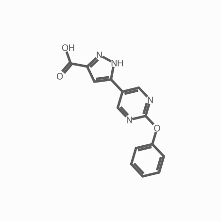 O=C(O)c1cc(-c2cnc(Oc3ccccc3)nc2)[nH]n1